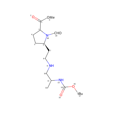 COC(=O)C1CC[C@H](CCNCC(C)NC(=O)OC(C)(C)C)N1C=O